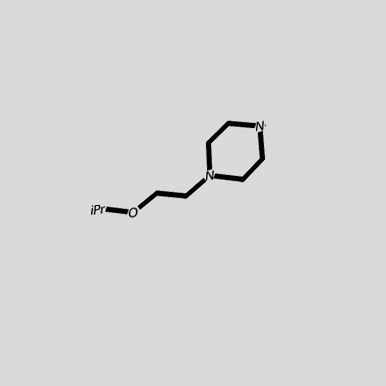 CC(C)OCCN1CC[N]CC1